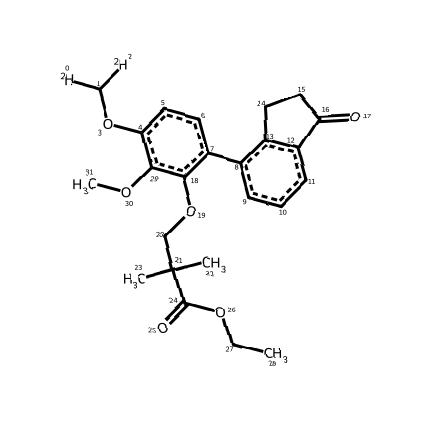 [2H]C([2H])Oc1ccc(-c2cccc3c2CCC3=O)c(OCC(C)(C)C(=O)OCC)c1OC